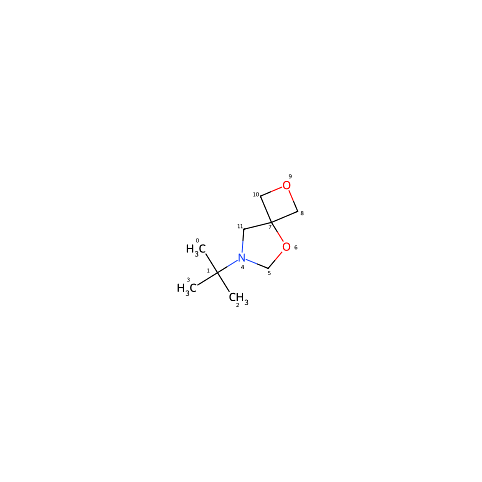 CC(C)(C)N1COC2(COC2)C1